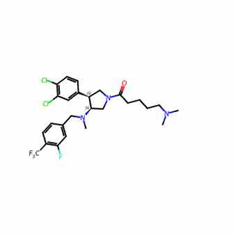 CN(C)CCCCC(=O)N1C[C@H](c2ccc(Cl)c(Cl)c2)[C@H](N(C)Cc2ccc(C(F)(F)F)c(F)c2)C1